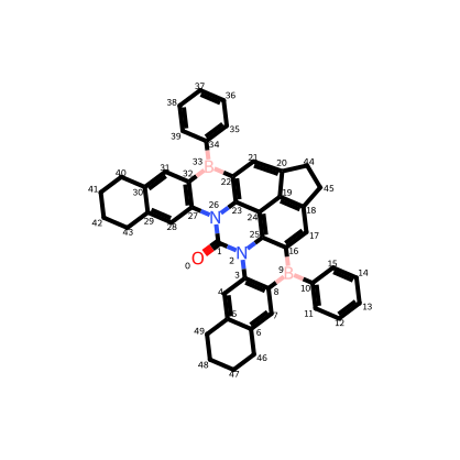 O=C1N2c3cc4c(cc3B(c3ccccc3)c3cc5c6c(cc7c(c6c32)N1c1cc2c(cc1B7c1ccccc1)CCCC2)CC5)CCCC4